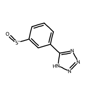 O=[S+]c1cccc(-c2nnn[nH]2)c1